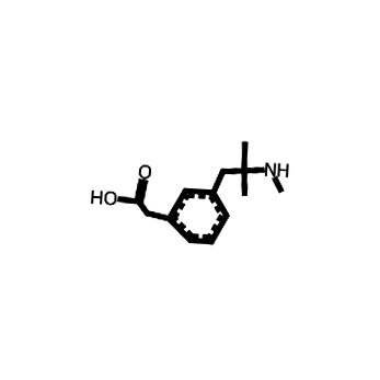 CNC(C)(C)Cc1cccc(CC(=O)O)c1